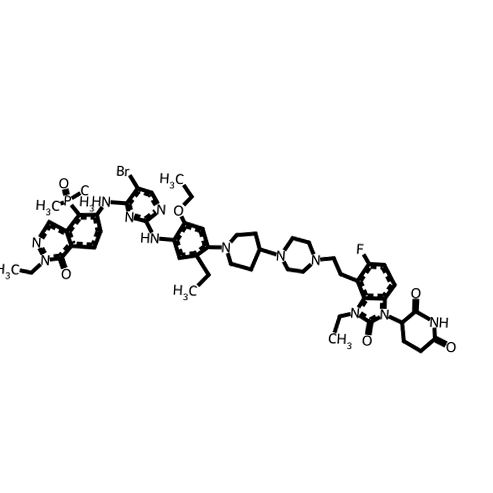 CCOc1cc(N2CCC(N3CCN(CCc4c(F)ccc5c4n(CC)c(=O)n5C4CCC(=O)NC4=O)CC3)CC2)c(CC)cc1Nc1ncc(Br)c(Nc2ccc3c(=O)n(CC)ncc3c2P(C)(C)=O)n1